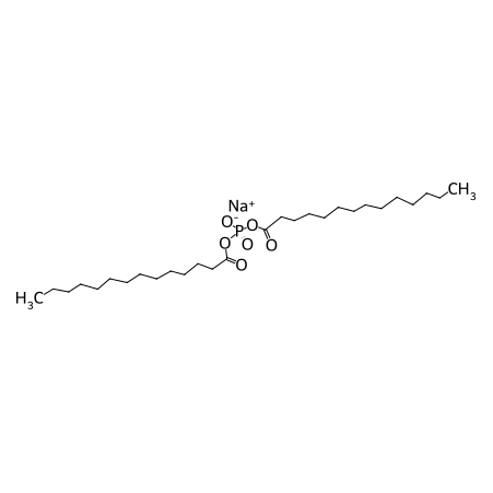 CCCCCCCCCCCCCC(=O)OP(=O)([O-])OC(=O)CCCCCCCCCCCCC.[Na+]